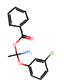 CC(N)(OC(=O)c1ccccc1)Oc1cccc(Cl)c1